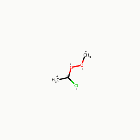 COOC(C)Cl